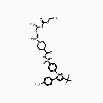 CCOC(=O)OC(C)ON=[N+]([O-])N1CCC(C(=O)NS(=O)(=O)c2ccc(-n3nc(C(F)(F)F)cc3-c3ccc(C)cc3)cc2)CC1